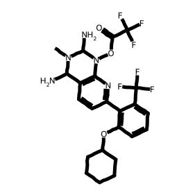 CN1C(N)c2ccc(-c3c(OC4CCCCC4)cccc3C(F)(F)F)nc2N(OC(=O)C(F)(F)F)C1N